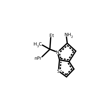 CCCC(C)(CC)n1c(N)cc2ccsc21